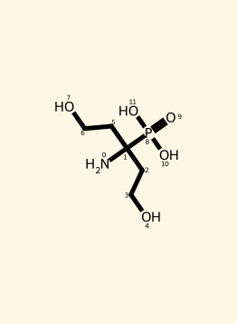 NC(CCO)(CCO)P(=O)(O)O